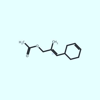 CC(=O)OC/C(C)=C/C1CC=CCC1